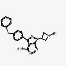 CC(C)N1CC(n2nc(-c3ccc(Oc4ccccc4)cc3)c3c(N)ncnc32)C1